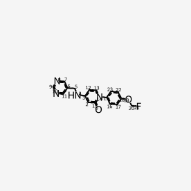 O=c1cc(NCc2cncnc2)ccn1-c1ccc(OCF)cc1